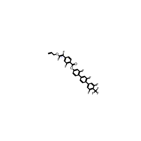 C=CCO/C(F)=C(\F)c1ccc(C(=O)Oc2ccc(-c3ccc(-c4cc(F)c(C(F)(F)F)c(F)c4)c(F)c3)c(F)c2)c(F)c1